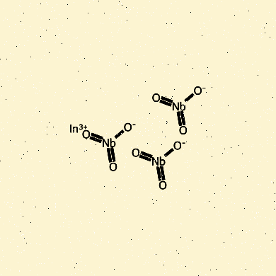 [In+3].[O]=[Nb](=[O])[O-].[O]=[Nb](=[O])[O-].[O]=[Nb](=[O])[O-]